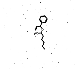 C=CC(OC(O)CCCCC)c1ccccc1